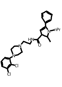 CCCN1C(c2ccccc2)=CC(C(=O)NCCN2CCN(c3cccc(Cl)c3Cl)CC2)C1C